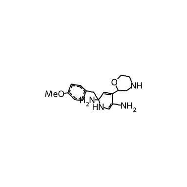 COc1ccc(CC2(N)C=C(C3CNCCO3)C(N)=CN2)cc1